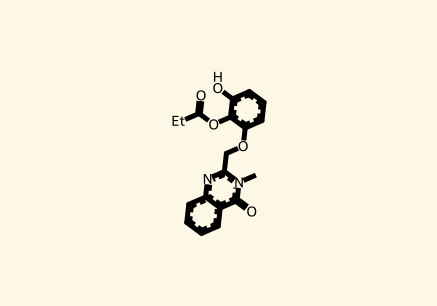 CCC(=O)Oc1c(O)cccc1OCc1nc2ccccc2c(=O)n1C